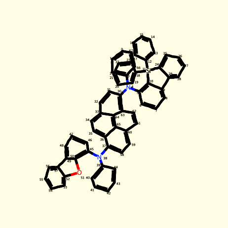 c1ccc(N(c2cccc3c2[Si](c2ccccc2)(c2ccccc2)c2ccccc2-3)c2ccc3ccc4c(N(c5ccccc5)c5cccc6c5oc5ccccc56)ccc5ccc2c3c54)cc1